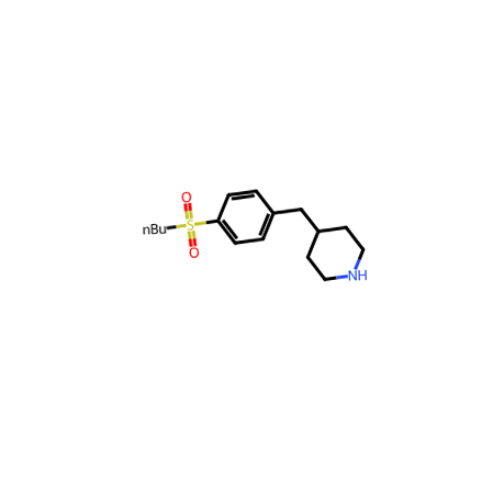 CCCCS(=O)(=O)c1ccc(CC2CCNCC2)cc1